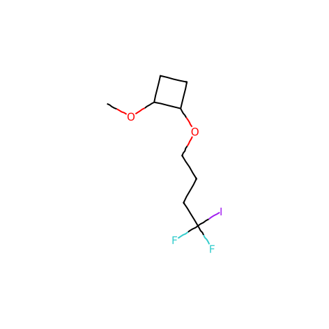 COC1CCC1OCCCC(F)(F)I